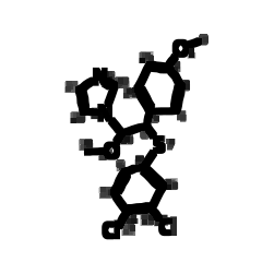 COc1ccc(C(Sc2ccc(Cl)c(Cl)c2)C(OC)n2ccnc2)cc1